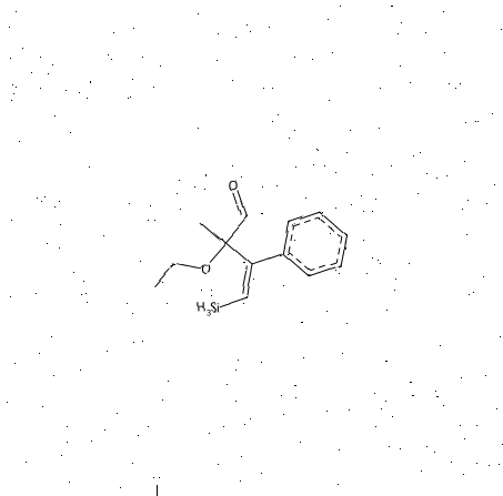 CCOC(C)(C=O)C(=C[SiH3])c1ccccc1